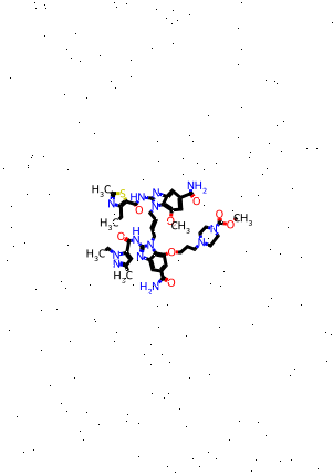 CCc1nc(C)sc1C(=O)Nc1nc2cc(C(N)=O)cc(OC)c2n1C/C=C/Cn1c(NC(=O)c2cc(C)nn2CC)nc2cc(C(N)=O)cc(OCCCN3CCN(C(=O)OC)CC3)c21